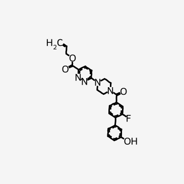 C=CCOC(=O)c1ccc(N2CCN(C(=O)c3ccc(-c4cccc(O)c4)c(F)c3)CC2)nn1